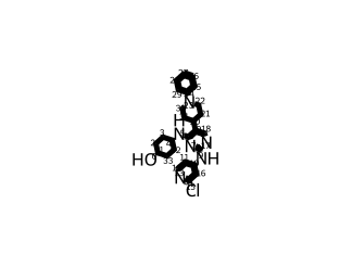 O[C@H]1CC[C@H](Nc2nc(Nc3ccnc(Cl)c3)ncc2C2CCN(c3cc#ccc3)CC2)CC1